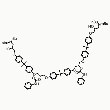 CCCCN(CCCC)CC(O)COc1ccc(C(C)(C)c2ccc(OCC(COc3ccc(C(C)(C)c4ccc(OCC(COc5ccc(C(C)(C)c6ccc(OCC(O)CN(CCCC)CCCC)cc6)cc5)OC(=O)Nc5ccccc5)cc4)cc3)OC(=O)Nc3ccccc3)cc2)cc1